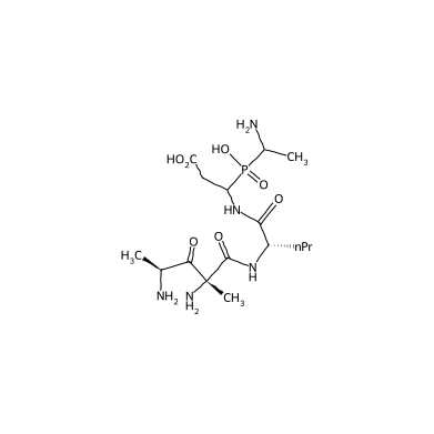 CCC[C@H](NC(=O)[C@](C)(N)C(=O)[C@H](C)N)C(=O)NC(CC(=O)O)P(=O)(O)C(C)N